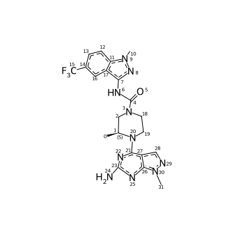 C[C@H]1CN(C(=O)Nc2nn(C)c3ccc(C(F)(F)F)cc23)CCN1c1nc(N)nc2c1cnn2C